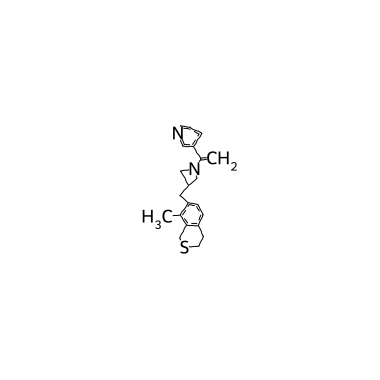 C=C(c1cccnc1)N1CC(Cc2ccc3c(c2C)CSCC3)C1